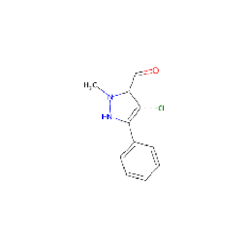 CN1NC(c2ccccc2)=C(Cl)C1C=O